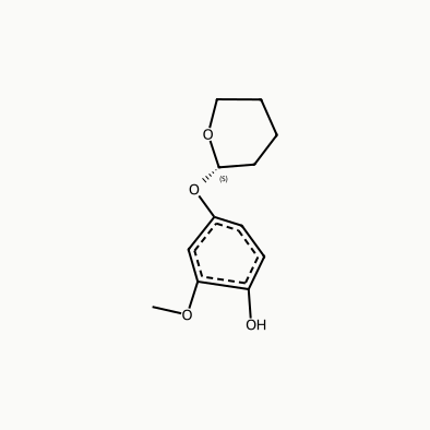 COc1cc(O[C@H]2CCCCO2)ccc1O